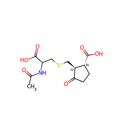 CC(=O)NC(CSC[C@@H]1C(=O)CC[C@H]1C(=O)O)C(=O)O